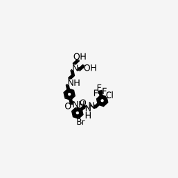 O=C(Nc1ccc(Br)cc1C(=O)NN=Cc1ccc(Cl)c(C(F)(F)F)c1)c1ccc(CNCCCN(CCO)CCO)cc1